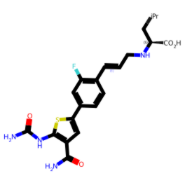 CC(C)C[C@H](NC/C=C/c1ccc(-c2cc(C(N)=O)c(NC(N)=O)s2)cc1F)C(=O)O